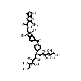 CCn1c(CNC(=O)c2nc3cn[nH]c3nc2N)[n+](CC)c2ccc(C(=O)N3CCC(N(C[C@H](O)[C@@H](O)[C@H](O)[C@H](O)CO)C[C@H](O)[C@@H](O)[C@H](O)[C@H](O)CO)CC3)cc21